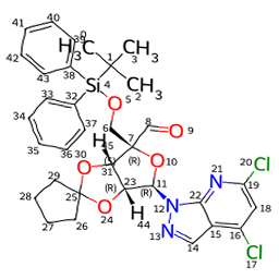 CC(C)(C)[Si](OC[C@@]1(C=O)O[C@@H](n2ncc3c(Cl)cc(Cl)nc32)[C@@H]2OC3(CCCC3)O[C@@H]21)(c1ccccc1)c1ccccc1